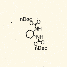 CCCCCCCCCCOC(=O)NC1CCCCC1NC(=O)OCCCCCCCCCC